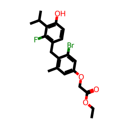 CCOC(=O)COc1cc(C)c(Cc2ccc(O)c(C(C)C)c2F)c(Br)c1